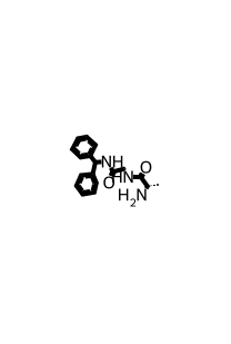 C[C@H](N)C(=O)NCC(=O)NC(c1ccccc1)c1ccccc1